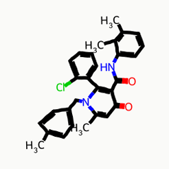 Cc1ccc(Cn2c(C)cc(=O)c(C(=O)Nc3cccc(C)c3C)c2-c2ccccc2Cl)cc1